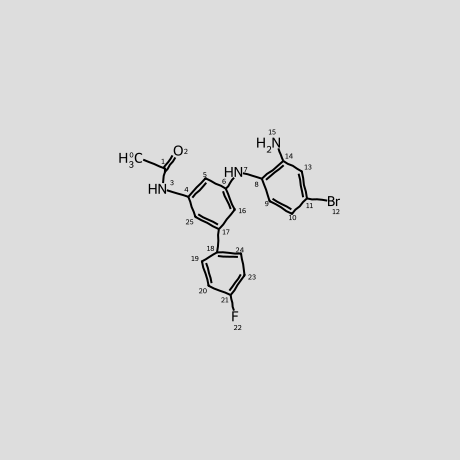 CC(=O)Nc1cc(Nc2ccc(Br)cc2N)cc(-c2ccc(F)cc2)c1